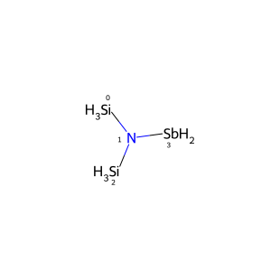 [SiH3][N]([SiH3])[SbH2]